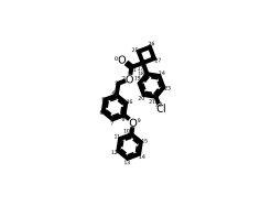 O=C(OCc1cccc(Oc2ccccc2)c1)C1(c2ccc(Cl)cc2)CCC1